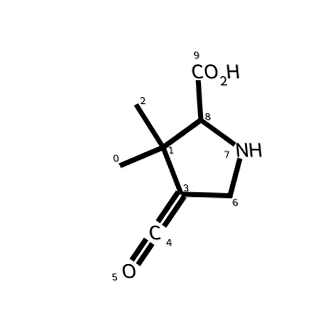 CC1(C)C(=C=O)CNC1C(=O)O